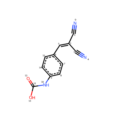 N#CC(C#N)=Cc1ccc(NC(=O)O)cc1